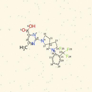 Cc1cc(C(=O)O)nc(N2CCC3(CCN(c4ccccc4C(F)(F)F)C3)C2)n1